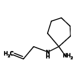 C=CCNC1(N)CCCCC1